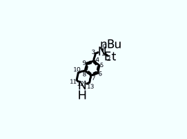 CCCCN(CC)Cc1ccc2c(c1)CCNC2